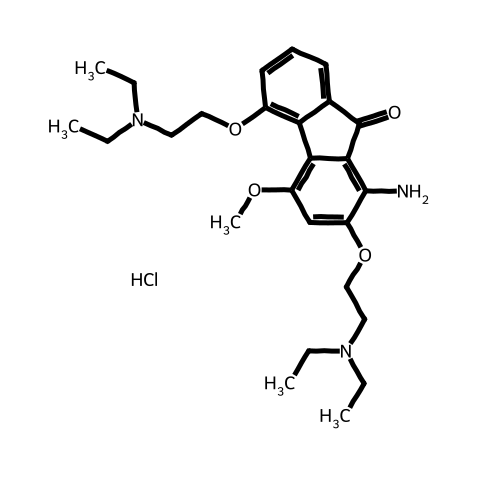 CCN(CC)CCOc1cc(OC)c2c(c1N)C(=O)c1cccc(OCCN(CC)CC)c1-2.Cl